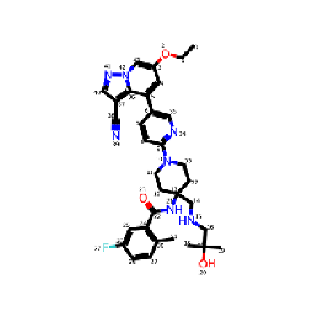 CCOc1cc(-c2ccc(N3CCC(CNCC(C)(C)O)(NC(=O)c4cc(F)ccc4C)CC3)nc2)c2c(C#N)cnn2c1